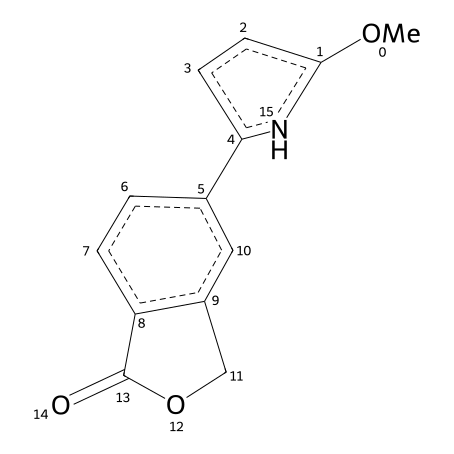 COc1ccc(-c2ccc3c(c2)COC3=O)[nH]1